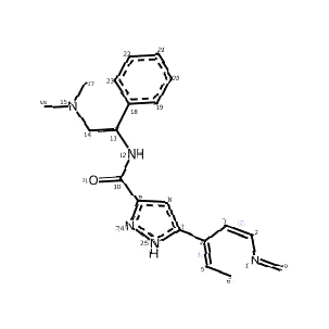 C=N/C=C\C(=C/C)c1cc(C(=O)NC(CN(C)C)c2ccccc2)n[nH]1